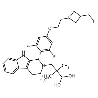 C[C@@H]1Cc2c([nH]c3ccccc23)[C@H](c2c(F)cc(OCCN3CC(CF)C3)cc2F)N1CC(C)(C)C(O)O